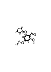 O=Cc1c(OI)cc(OSI)cc1OC1CCCC1